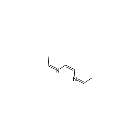 C\C=N/C=C\N=C/C